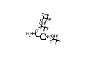 NC(=O)CC1CCN(O)CC1.O=C(O)C(F)(F)F.O=C(O)C(F)(F)F.O=C(O)C(F)(F)F